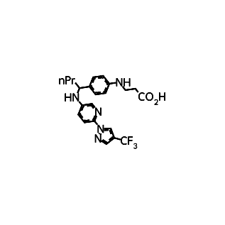 CCCC(Nc1ccc(-n2cc(C(F)(F)F)cn2)nc1)c1ccc(NCCC(=O)O)cc1